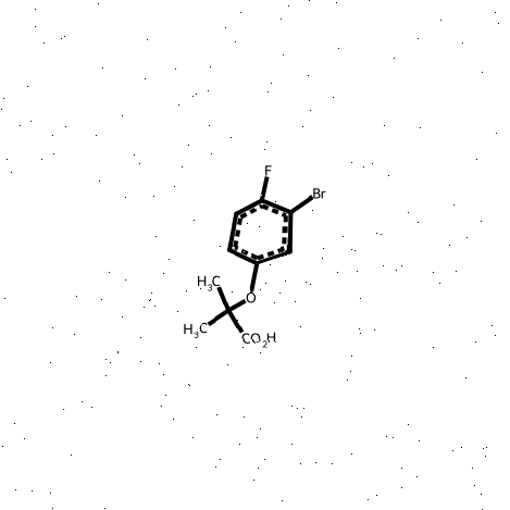 CC(C)(Oc1ccc(F)c(Br)c1)C(=O)O